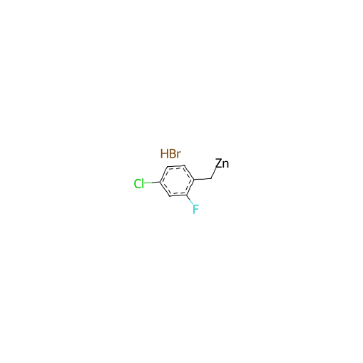 Br.Fc1cc(Cl)ccc1[CH2][Zn]